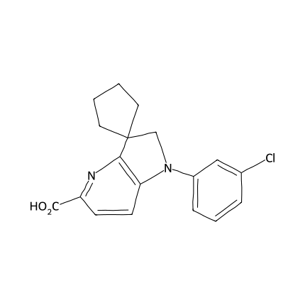 O=C(O)c1ccc2c(n1)C1(CCCC1)CN2c1cccc(Cl)c1